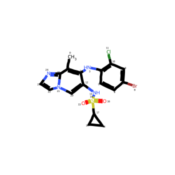 Cc1c(Nc2ccc(Br)cc2Cl)c(NS(=O)(=O)C2CC2)cn2ccnc12